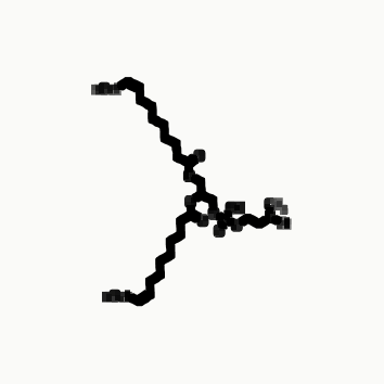 CCCCCCCC/C=C\CCCCCCCC(=O)OCC(COP(=O)(O)OCCN(C)CC)OC(=O)CCCCCCC/C=C\CCCCCCCC